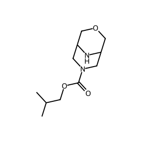 CC(C)COC(=O)N1CC2COCC(C1)N2